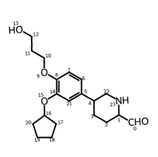 O=CC1CCC(c2ccc(OCCCO)c(OC3CCCC3)c2)CN1